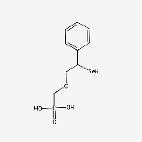 O=P(O)(O)COCC([SeH])c1ccccc1